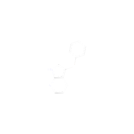 c1ccc(Sc2c[nH]c3ncccc23)cc1